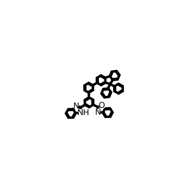 c1ccc(C2(c3ccccc3)c3ccccc3-c3ccc(-c4cccc(-c5cc(-c6nc7ccccc7[nH]6)cc(-c6nc7ccccc7o6)c5)c4)cc32)cc1